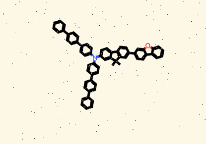 CC1(C)c2cc(-c3ccc4c(c3)oc3ccccc34)ccc2-c2ccc(N(c3ccc(-c4ccc(-c5ccccc5)cc4)cc3)c3ccc(-c4ccc(-c5ccccc5)cc4)cc3)cc21